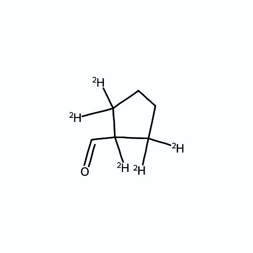 [2H]C1([2H])CCC([2H])([2H])C1([2H])C=O